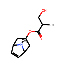 CC(CO)C(=O)OC1CC2C=CC(C1)N2C